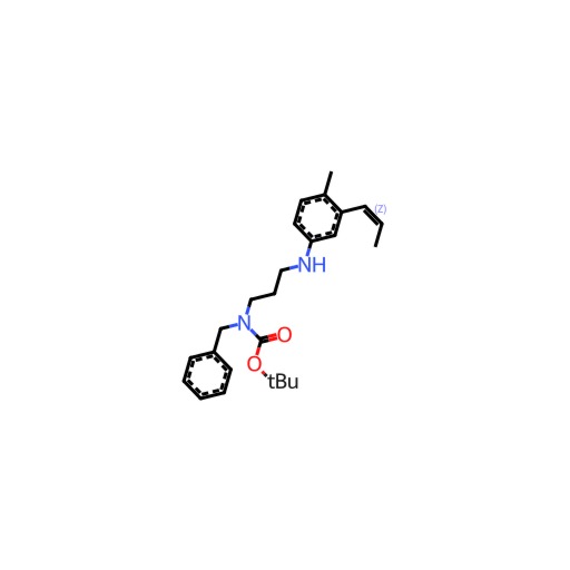 C/C=C\c1cc(NCCCN(Cc2ccccc2)C(=O)OC(C)(C)C)ccc1C